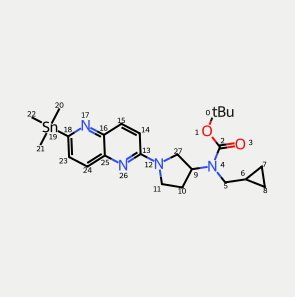 CC(C)(C)OC(=O)N(CC1CC1)C1CCN(c2ccc3n[c]([Sn]([CH3])([CH3])[CH3])ccc3n2)C1